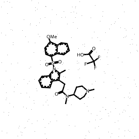 COc1ccc(S(=O)(=O)n2c(C)c(CC(=O)N(C)C3CCN(C)CC3)c3ccccc32)c2ccccc12.O=C(O)C(F)(F)F